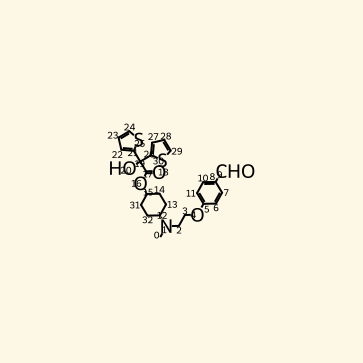 CN(CCOc1ccc(C=O)cc1)[C@H]1CC[C@H](OC(=O)C(O)(c2cccs2)c2cccs2)CC1